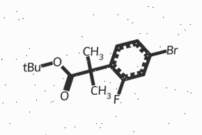 CC(C)(C)OC(=O)C(C)(C)c1ccc(Br)cc1F